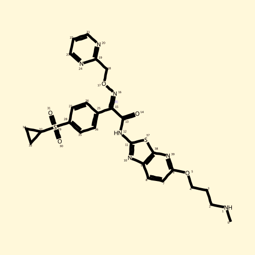 CNCCCOc1ccc2nc(NC(=O)/C(=N/OCc3ncccn3)c3ccc(S(=O)(=O)C4CC4)cc3)sc2n1